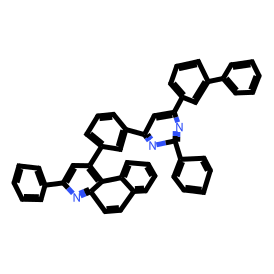 c1ccc(-c2cccc(-c3cc(-c4cccc(-c5cc(-c6ccccc6)nc6ccc7ccccc7c56)c4)nc(-c4ccccc4)n3)c2)cc1